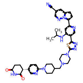 CC(C)Nc1cc(-c2ccc3cc(C#N)cnn23)ncc1-c1nnc(N2CCN(CC3CCN(c4ccc([C@H]5CCC(=O)NC5=O)cn4)CC3)CC2)s1